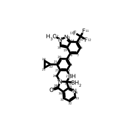 BC12Bc3cc(-c4ccc(C(F)(F)F)c5nn(C)cc45)cc(C4CC4)c3CN1C(=O)c1cccnc12